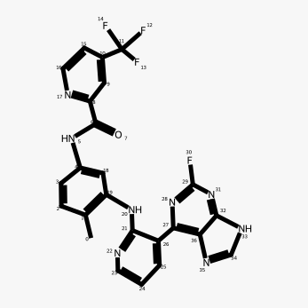 Cc1ccc(NC(=O)c2cc(C(F)(F)F)ccn2)cc1Nc1ncccc1-c1nc(F)nc2[nH]cnc12